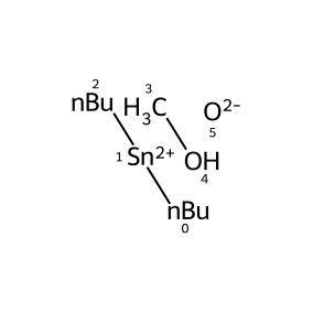 CCC[CH2][Sn+2][CH2]CCC.CO.[O-2]